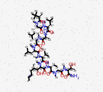 C/C=C/C[C@@H](C)[C@H](O)C(C(=O)N[C@H](CC)C(=O)N(C)CC(=O)N(C)C(C(N)=O)[C@H](C)O)N(C)C(=O)[C@@H](C(C)C)N(C)C(=O)[C@@H](CC(C)C)N(C)C(=O)[C@H](CC(C)C)N(C)C(=O)[C@H](C)NC(=O)[C@H](CC(C)C)NC(=O)[C@H](C)N(C)C(=O)[C@H](C)C(C)(C)C